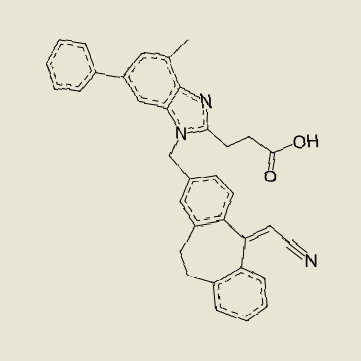 Cc1cc(-c2ccccc2)cc2c1nc(CCC(=O)O)n2Cc1ccc2c(c1)CCc1ccccc1C2=CC#N